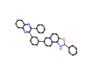 c1ccc(-c2nc3ccccc3nc2-c2cccc(-c3ccc4c5c(ccc4c3)OC(c3ccccc3)N5)c2)cc1